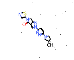 C[C@H]1CCN(c2ccc(-n3cc4c(n3)CN(c3cncs3)C4=O)nn2)C1